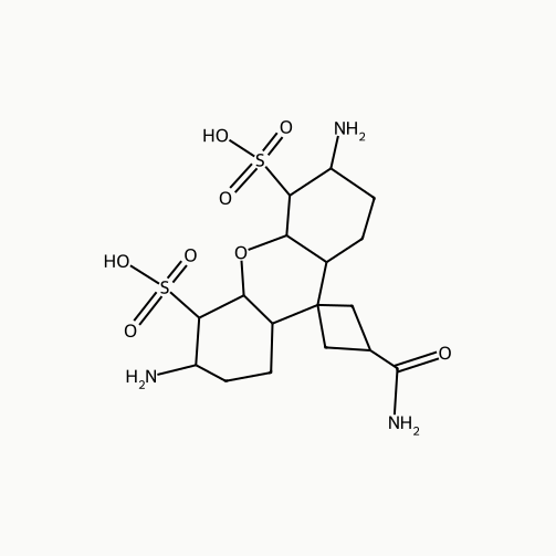 NC(=O)C1CC2(C1)C1CCC(N)C(S(=O)(=O)O)C1OC1C2CCC(N)C1S(=O)(=O)O